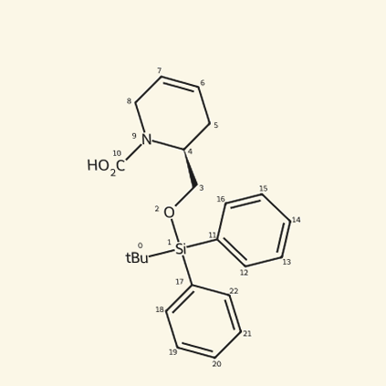 CC(C)(C)[Si](OC[C@@H]1CC=CCN1C(=O)O)(c1ccccc1)c1ccccc1